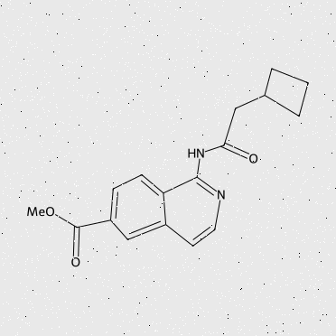 COC(=O)c1ccc2c(NC(=O)CC3CCC3)nccc2c1